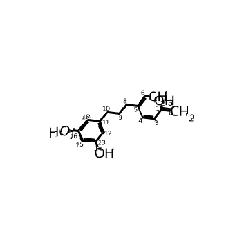 C=C(O)/C=C\C(=C/C)CCCc1cc(O)cc(O)c1